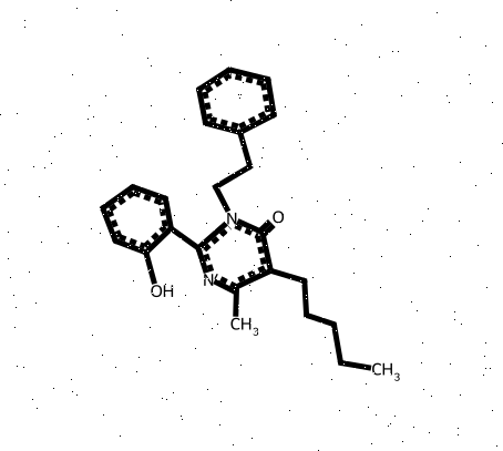 CCCCCc1c(C)nc(-c2ccccc2O)n(CCc2ccccc2)c1=O